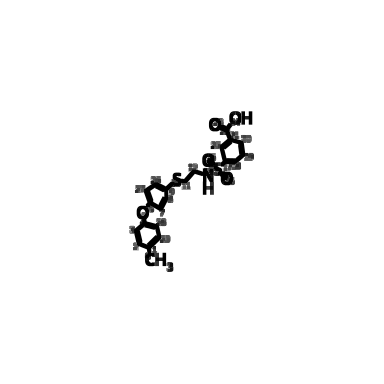 Cc1ccc(Oc2ccc(SCCNS(=O)(=O)c3cccc(C(=O)O)c3)cc2)cc1